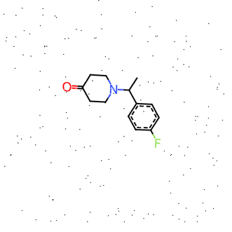 CC(c1ccc(F)cc1)N1CCC(=O)CC1